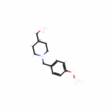 COc1ccc(CN2CCC(CO)CC2)cc1